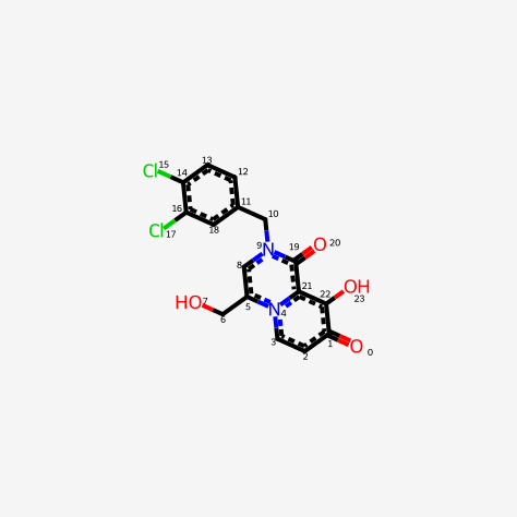 O=c1ccn2c(CO)cn(Cc3ccc(Cl)c(Cl)c3)c(=O)c2c1O